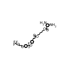 Nc1cc(N)cc(C(=O)OCCCCCCOC(=O)C=Cc2ccc(OC(F)(F)c3ccc(OCCOCC(F)(F)F)cc3)cc2)c1